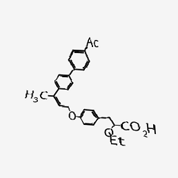 CCOC(Cc1ccc(OC/C=C(/C)c2ccc(-c3ccc(C(C)=O)cc3)cc2)cc1)C(=O)O